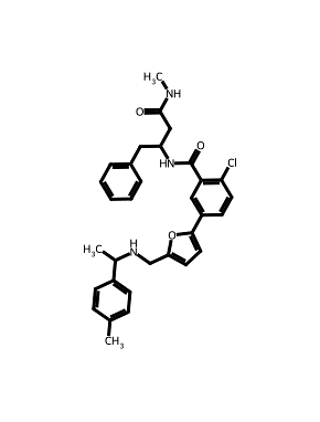 CNC(=O)CC(Cc1ccccc1)NC(=O)c1cc(-c2ccc(CNC(C)c3ccc(C)cc3)o2)ccc1Cl